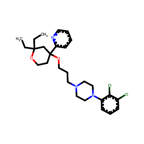 CCC1(CC)CC(OCCCN2CCN(c3cccc(Cl)c3Cl)CC2)(c2ccccn2)CCO1